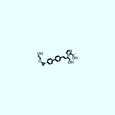 C[C@H](O)c1nccn1C(/C=C/c1ccc(-c2ccc([C@@H]3C[C@H]3OCCO)cc2)cc1)CO